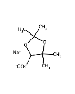 CC1(C)OC(C(=O)[O-])C(C)(C)O1.[Na+]